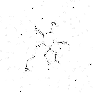 CCCC=C(C(=O)OC)[Si](OC)(OC)OC